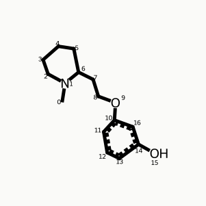 CN1CCCCC1CCOc1cccc(O)c1